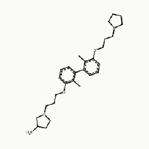 Cc1c(OCCCN2CCCC2)cccc1-c1cccc(OCCCN2CCC(N)C2)c1C